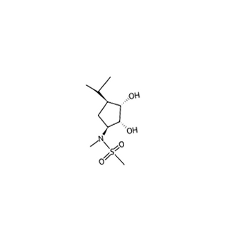 CC(C)[C@@H]1C[C@H](N(C)S(C)(=O)=O)[C@@H](O)[C@H]1O